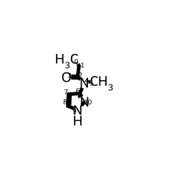 CCC(=O)N(C)c1cc[nH]n1